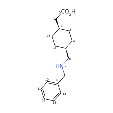 O=C(O)C[C@H]1CC[C@@H](CNCc2ccccc2)CC1